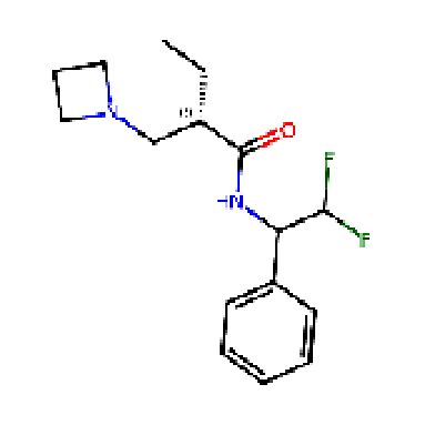 CC[C@@H](CN1CCC1)C(=O)NC(c1ccccc1)C(F)F